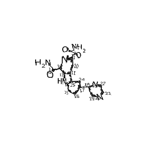 NC(=O)c1nc(S(N)(=O)=O)cc2c1[nH]c1ccc(-c3cnccn3)cc12